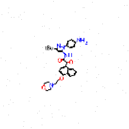 CC(C)(C)c1cc(NC(=O)C(=O)c2ccc(OCCN3CCOCC3)c3ccccc23)n(-c2ccc(N)cc2)n1